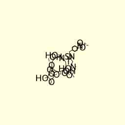 CC[C@H]1OC(=O)[C@H](C)[C@@H](O[C@H]2C[C@@](C)(OC)[C@@H](O)[C@H](C)O2)[C@H](C)[C@@H](O[C@@H]2O[C@H](C)C[C@H](N(C)CCc3csc(Cc4ccc([N+](=O)[O-])cc4)n3)[C@H]2O)[C@](C)(O)C[C@@H](I)CN(C)[C@H](C)[C@@H](O)[C@]1(C)O